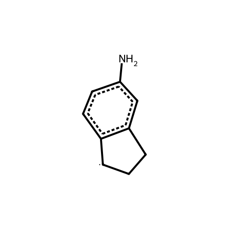 Nc1ccc2c(c1)CC[CH]2